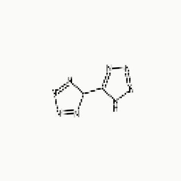 N1=NC(c2nnn[nH]2)N=N1